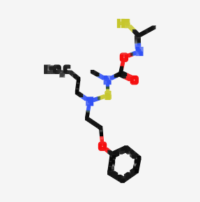 CCOC(=O)CCN(CCOc1ccccc1)SN(C)C(=O)ON=C(C)S